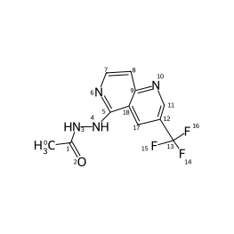 CC(=O)NNc1nccc2ncc(C(F)(F)F)cc12